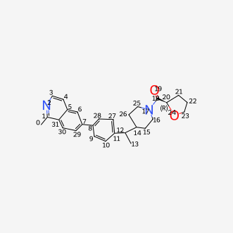 Cc1nccc2cc(-c3ccc(C(C)C4CCN(C(=O)[C@H]5CCCO5)CC4)cc3)ccc12